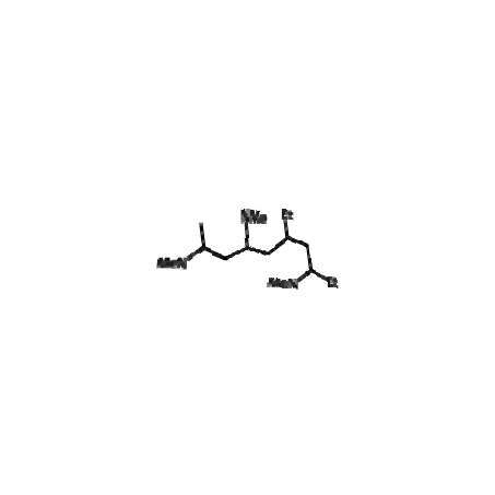 CCC(CC(CC)NC)CC(CC(C)NC)NC